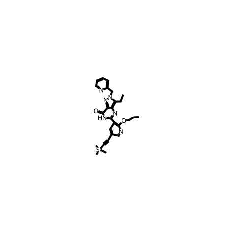 CCCOc1ncc(C#C[Si](C)(C)C)cc1-c1nc2c(CC)n(Cc3ccccn3)nc2c(=O)[nH]1